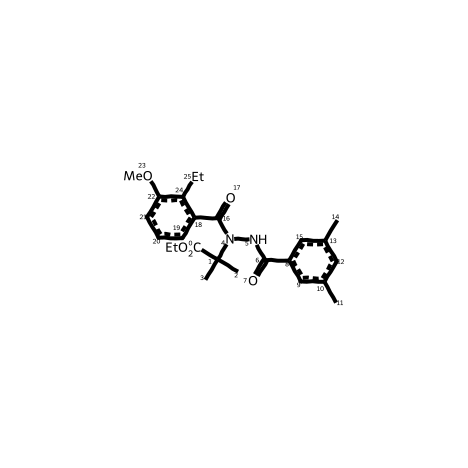 CCOC(=O)C(C)(C)N(NC(=O)c1cc(C)cc(C)c1)C(=O)c1cccc(OC)c1CC